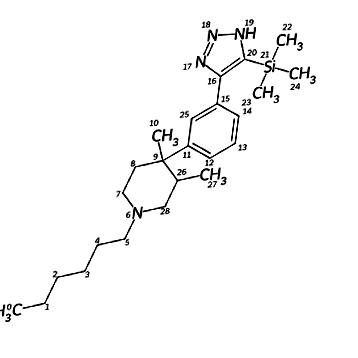 CCCCCCN1CCC(C)(c2cccc(-c3nn[nH]c3[Si](C)(C)C)c2)C(C)C1